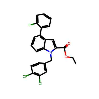 CCOC(=O)c1cc2c(-c3ccccc3F)cccc2n1Cc1ccc(Cl)c(Cl)c1